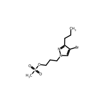 CCCc1nn(CCCOS(C)(=O)=O)cc1Br